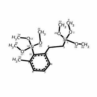 CO[Si](CCc1cccc(C)c1[Si](OC)(OC)OC)(OC)OC